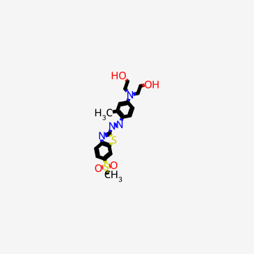 Cc1cc(N(CCO)CCO)ccc1N=Nc1nc2ccc(S(C)(=O)=O)cc2s1